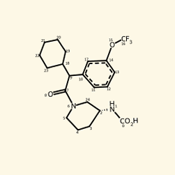 O=C(O)N[C@@H]1CCCN(C(=O)C(c2cccc(OC(F)(F)F)c2)C2CCCCC2)C1